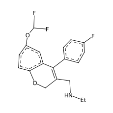 CCNCC1=C(c2ccc(F)cc2)c2cc(OC(F)F)ccc2OC1